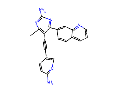 Cc1nc(N)nc(-c2ccc3cccnc3c2)c1C#Cc1ccc(N)nc1